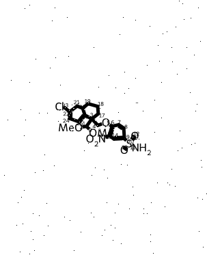 COC(OC)C1(COc2ccc(S(N)(=O)=O)cc2[N+](=O)[O-])CCCC2CC(Cl)=CC=C21